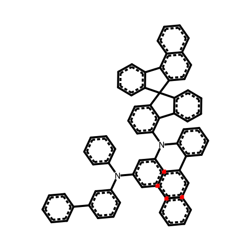 c1ccc(-c2cccc(N(c3ccccc3)c3cc(-c4ccccc4)cc(N(c4ccccc4-c4ccccc4)c4cccc5c4-c4ccccc4C54c5ccccc5-c5c4ccc4ccccc54)c3)c2)cc1